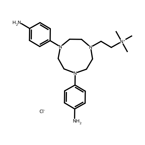 C[N+](C)(C)CCN1CCN(c2ccc(N)cc2)CCN(c2ccc(N)cc2)CC1.[Cl-]